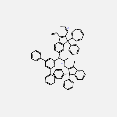 C=CC1=C(/C=C\C)C(C2=CCC=CC=C2)(c2ccccc2)c2cc(N(/C(C)=C/C3=C(C)c4ccccc4C3(c3ccccc3)c3ccccc3)c3cc(-c4ccccc4)cc(-c4ccccc4)c3)ccc21